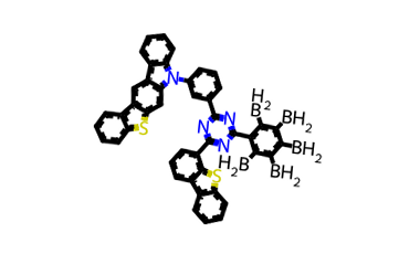 Bc1c(B)c(B)c(-c2nc(-c3cccc(-n4c5ccccc5c5cc6c(cc54)sc4ccccc46)c3)nc(-c3cccc4c3sc3ccccc34)n2)c(B)c1B